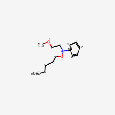 [CH2]COCCN(OCCCCCCCCCCCCCC)c1ccccc1